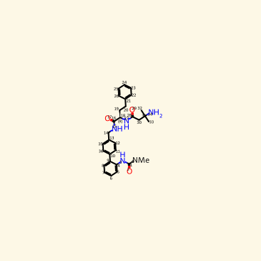 CNC(=O)Nc1ccccc1-c1ccc(CNC(=O)[C@@H](CCc2ccccc2)NC(=O)CC(C)(C)N)cc1